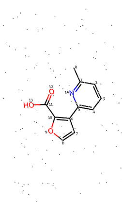 Cc1cccc(-c2ccoc2C(=O)O)n1